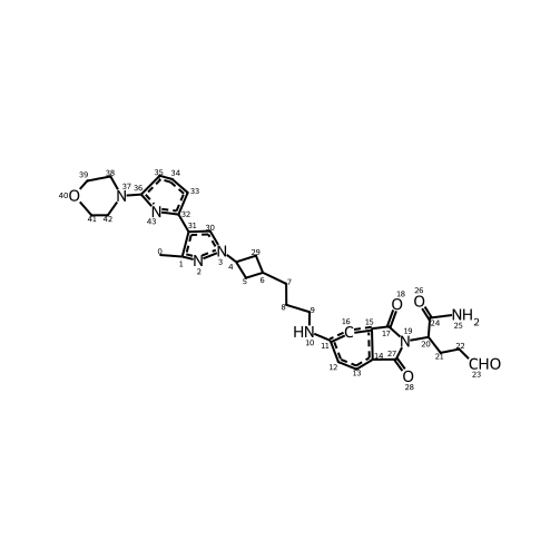 Cc1nn(C2CC(CCCNc3ccc4c(c3)C(=O)N(C(CCC=O)C(N)=O)C4=O)C2)cc1-c1cccc(N2CCOCC2)n1